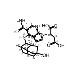 NC(=O)c1cnc2[nH]ccc2c1NC1[C@@H]2CC3C[C@H]1CC(O)(C3)C2.O=C(O)CCC(=O)O